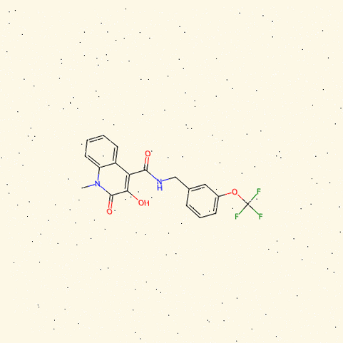 Cn1c(=O)c(O)c(C(=O)NCc2cccc(OC(F)(F)F)c2)c2ccccc21